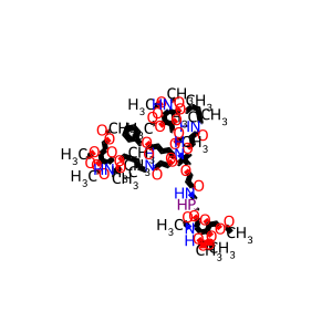 CC(=O)NC1C(OCPCNC(=O)CCOCC(COCCC(=O)NCC(C)CC(C)(C)COC2OC(COC(C)=O)C(OC(C)=O)C(OC(C)=O)C2NC(C)=O)(COCCC(=O)NCC(C)(C)CC(C)COC2OC(COC(C)=O)C(OC(C)=O)C(OC(C)=O)C2NC(C)=O)NC(=O)CCCC(=O)OCc2ccccc2)OC(COC(C)=O)C(OC(C)=O)C1OC(C)=O